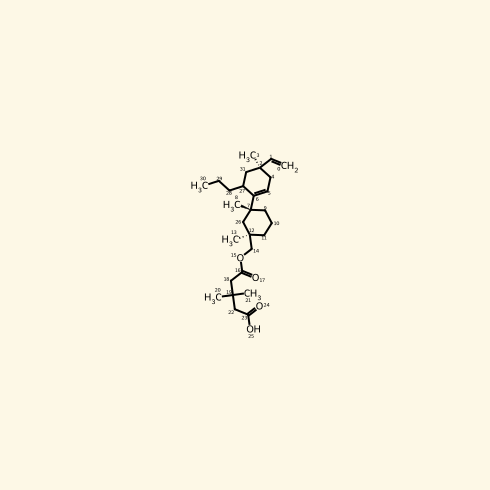 C=C[C@@]1(C)CC=C([C@]2(C)CCC[C@@](C)(COC(=O)CC(C)(C)CC(=O)O)C2)C(CCC)C1